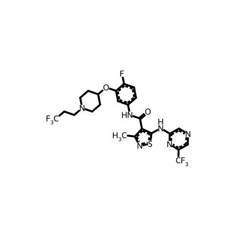 Cc1nsc(Nc2cncc(C(F)(F)F)n2)c1C(=O)Nc1ccc(F)c(OC2CCN(CCC(F)(F)F)CC2)c1